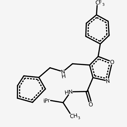 CC(C)C(C)NC(=O)c1noc(-c2ccc(C(F)(F)F)cc2)c1CNCc1ccccc1